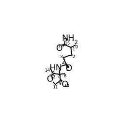 CC(C[CH]C(=O)NC1(C)C(=O)COC1C)C(N)=O